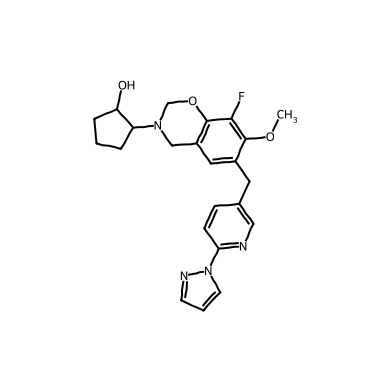 COc1c(Cc2ccc(-n3cccn3)nc2)cc2c(c1F)OCN(C1CCCC1O)C2